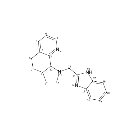 c1cnc2c(c1)CCC1CCN(Cc3nc4ccccc4[nH]3)C21